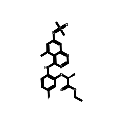 CCOC(=O)[C@H](C)Oc1cc(F)ccc1Nc1ncnc2cc(N=S(C)(C)=O)cc(C)c12